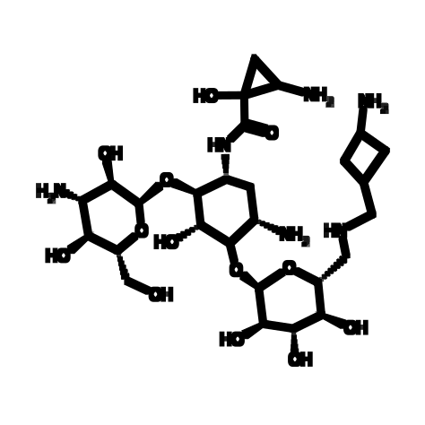 NC1CC(CNC[C@H]2O[C@H](OC3[C@@H](N)C[C@@H](NC(=O)C4(O)CC4N)[C@H](O[C@H]4O[C@H](CO)[C@@H](O)[C@H](N)[C@H]4O)[C@H]3O)[C@H](O)[C@@H](O)[C@@H]2O)C1